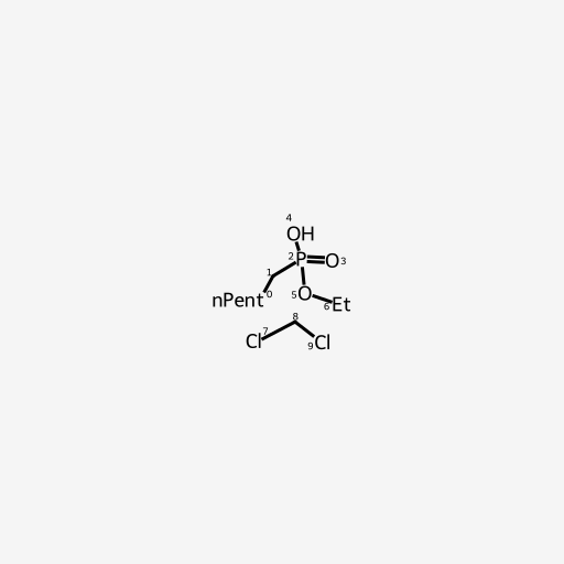 CCCCCCP(=O)(O)OCC.ClCCl